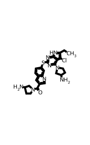 CCc1[nH]c2nc(Sc3ccc4cc(C(=O)N5CCC(N)C5)cnc4c3)nc(N3CCC(N)C3)c2c1Cl